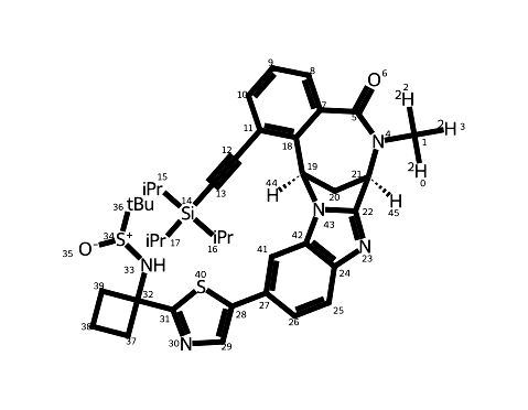 [2H]C([2H])([2H])N1C(=O)c2cccc(C#C[Si](C(C)C)(C(C)C)C(C)C)c2[C@H]2C[C@@H]1c1nc3ccc(-c4cnc(C5(N[S+]([O-])C(C)(C)C)CCC5)s4)cc3n12